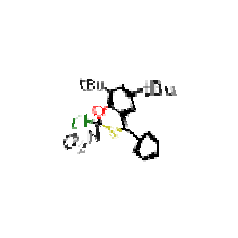 CC(C)(C)c1cc2c(c(C(C)(C)C)c1)OC(Cl)([N+](=O)[O-])SC2c1ccccc1